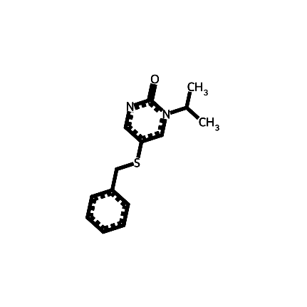 CC(C)n1cc(SCc2ccccc2)cnc1=O